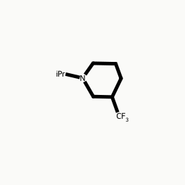 CC(C)N1CCCC(C(F)(F)F)C1